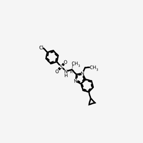 CCn1c([C@@H](C)NS(=O)(=O)c2ccc(Cl)cc2)nc2cc(C3CC3)ccc21